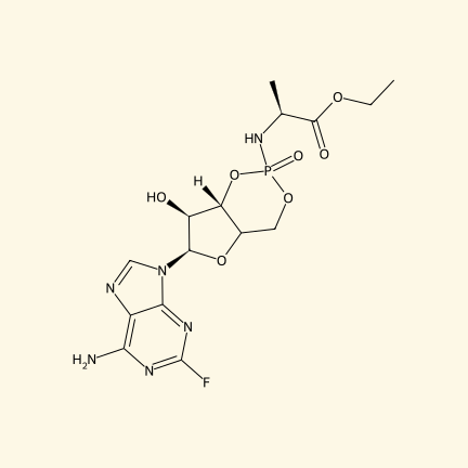 CCOC(=O)[C@H](C)NP1(=O)OCC2O[C@@H](n3cnc4c(N)nc(F)nc43)[C@@H](O)[C@@H]2O1